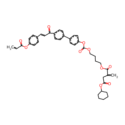 C=CC(=O)Oc1ccc(/C=C/C(=O)c2ccc(-c3ccc(OC(=O)OCCCCOC(=O)C(=C)CC(=O)OC4CCCCC4)cc3)cc2)cc1